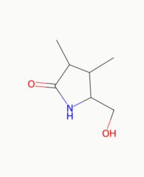 CC1C(=O)NC(CO)C1C